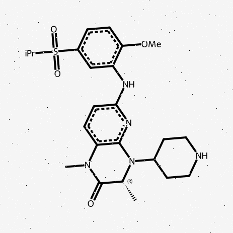 COc1ccc(S(=O)(=O)C(C)C)cc1Nc1ccc2c(n1)N(C1CCNCC1)[C@H](C)C(=O)N2C